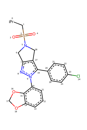 CC(C)CS(=O)(=O)N1Cc2nn(-c3cccc4c3OCO4)c(-c3ccc(Cl)cc3)c2C1